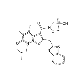 CC(C)Cn1c(=O)n(C)c(=O)c2c(C(=O)N3C[C@](C)(O)CO3)n(Cc3nc4ccccc4s3)cc21